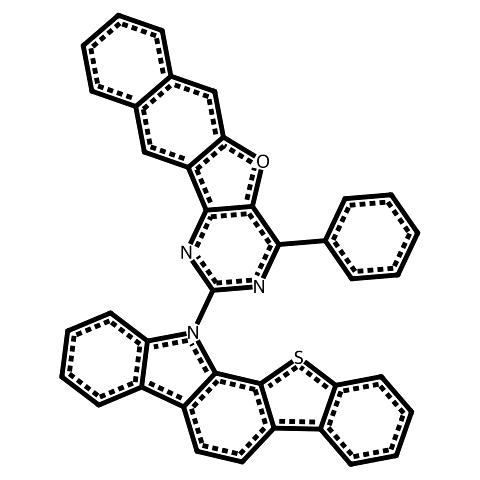 c1ccc(-c2nc(-n3c4ccccc4c4ccc5c6ccccc6sc5c43)nc3c2oc2cc4ccccc4cc23)cc1